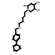 C[C@H]1CC(O)[C@@H](O)CN1CCCCCOCc1ccc(-c2ccccc2)cc1